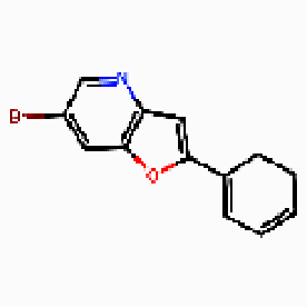 Brc1cnc2cc(C3=CC=CCC3)oc2c1